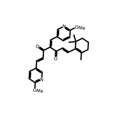 COc1ccc(/C=C/C(=O)/C(=C/c2ccc(OC)nc2)C(=O)/C=C/C2=C(C)CCCC2(C)C)cn1